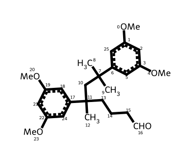 COc1cc(OC)cc(C(C)(C)CC(C)(CCCC=O)c2cc(OC)cc(OC)c2)c1